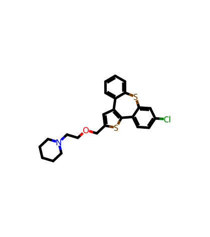 Clc1ccc2c(c1)Sc1ccccc1-c1cc(COCCN3CCCCC3)sc1-2